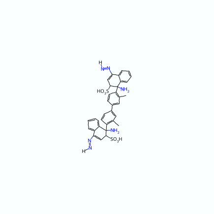 [H]/N=N/C1=CC(S(=O)(=O)O)C(N)(c2ccc(-c3ccc(C4(N)c5ccccc5C(/N=N/[H])=CC4S(=O)(=O)O)c(C)c3)cc2C)c2ccccc21